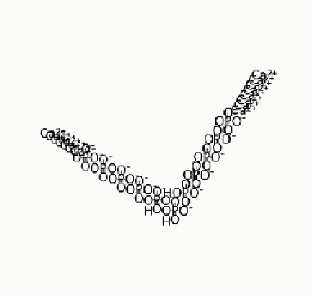 O=P([O-])([O-])O.O=P([O-])([O-])O.O=P([O-])([O-])O.O=P([O-])([O-])[O-].O=P([O-])([O-])[O-].O=P([O-])([O-])[O-].O=P([O-])([O-])[O-].O=P([O-])([O-])[O-].O=P([O-])([O-])[O-].O=P([O-])([O-])[O-].O=P([O-])([O-])[O-].[Ca+2].[Ca+2].[Ca+2].[Ca+2].[Ca+2].[Ca+2].[Ca+2].[Ca+2].[Ca+2].[Ca+2].[Ca+2].[Ca+2].[Ca+2].[Ca+2].[Ca+2]